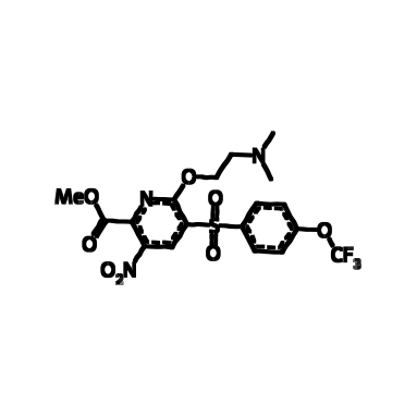 COC(=O)c1nc(OCCN(C)C)c(S(=O)(=O)c2ccc(OC(F)(F)F)cc2)cc1[N+](=O)[O-]